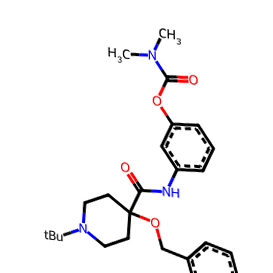 CN(C)C(=O)Oc1cccc(NC(=O)C2(OCc3ccccc3)CCN(C(C)(C)C)CC2)c1